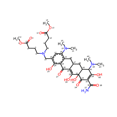 COC(=O)CCCN(CCCC(=O)OC)Cc1cc(N(C)C)c2c(c1O)C(=O)C1=C(O)C3(O)C(=O)C(C(N)=O)=C(O)C(N(C)C)C3CC1C2